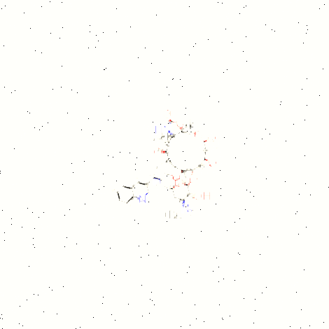 CC[C@H]1OC(=O)[C@H](C)C(=O)[C@H](C)[C@@H](O[C@@H]2O[C@H](C)C[C@H](N(C)C(C)(C)C)[C@H]2O)[C@](C)(OC/C=C/c2cnc3ccccc3c2)C[C@@H](C)C(=O)[C@H](C)[C@H]2NC(=O)O[C@@]21C